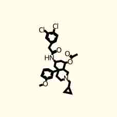 COc1cccc(C23CCN(CC4CC4)CC2C(OC(C)=O)CC(NC(=O)Cc2ccc(Cl)c(Cl)c2)C3)c1